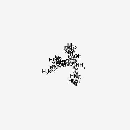 Nc1ccn([C@H]2C[C@H](OP(=O)(O)OC[C@H]3O[C@@H](n4cnc5c(N)ncnc54)[C@H](O)[C@@H]3OC(=O)C(N)CCCCNC(=O)[C@@H]3CSCN3)[C@H](COP(=O)(O)O)O2)c(=O)n1